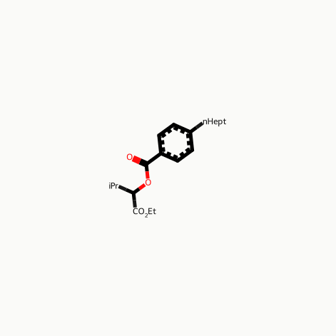 CCCCCCCc1ccc(C(=O)OC(C(=O)OCC)C(C)C)cc1